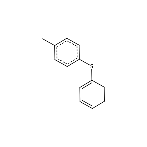 Cc1ccc(SC2=CC=CCC2)cc1